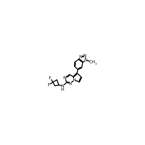 Cn1nnc2ccc(-c3ccn4nc(NC5CC(F)(F)C5)ncc34)cc21